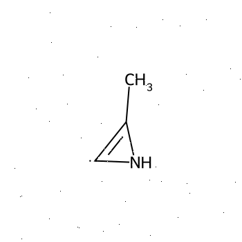 CC1=[C]N1